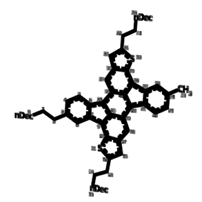 CCCCCCCCCCCCc1ccc2c(c1)c1c3sc(CCCCCCCCCCCC)cc3cc3c4c5ccc(C)cc5c5c6sc(CCCCCCCCCCCC)cc6cc(c2c31)c45